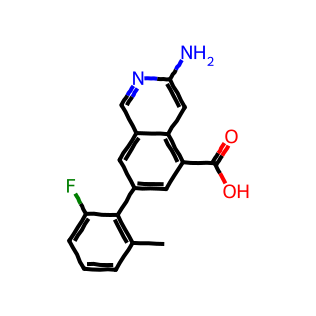 Cc1cccc(F)c1-c1cc(C(=O)O)c2cc(N)ncc2c1